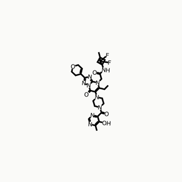 CCc1c(N2CCN(C(=O)c3ncnc(C)c3O)CC2)c(=O)n2nc(C3=CCOCC3)nc2n1CC(=O)NC12CC(C)(C1)C2(F)F